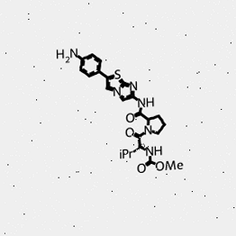 COC(=O)N[C@H](C(=O)N1CCCC1C(=O)Nc1cn2cc(-c3ccc(N)cc3)sc2n1)C(C)C